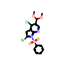 COC(OC)c1cnc2c(cc(Br)n2S(=O)(=O)c2ccccc2)c1Cl